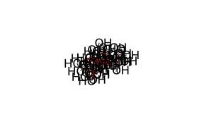 C=C1[C@H](O)[C@@]23CC[C@H]4[C@@](C)(CCC[C@@]4(C)C(=O)OC4OC(CO)C(O)C(OC5OC(CO)C(O)C(O)C5O)C4OC4OC(CO)C(O)C(OC5OC(CO)C(O)C(OC6OC(CO)C(O)C(O)C6O)C5OC5OC(CO)C(O)C(O)C5O)C4O)[C@@H]2CCC1(OC1OC(CO)C(O)C(OC2OC(CO)C(O)C(O)C2O)C1OC1OC(CO)C(O)C(O)C1O)C3